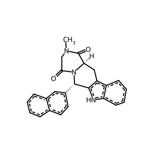 CN1CC(=O)N2[C@@H](c3ccc4ccccc4c3)c3[nH]c4ccccc4c3C[C@@H]2C1=O